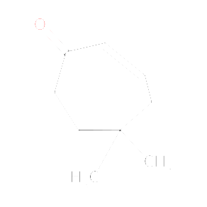 CC1(C)CC=CC(=O)CC1